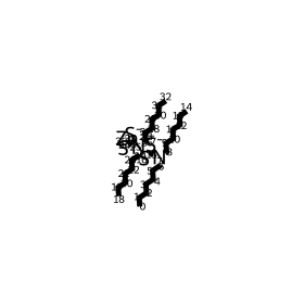 CCCCCCCN(CCCCCCC)C(=S)[S-].CCCCCCCN(CCCCCCC)C(=S)[S-].[Zn+2]